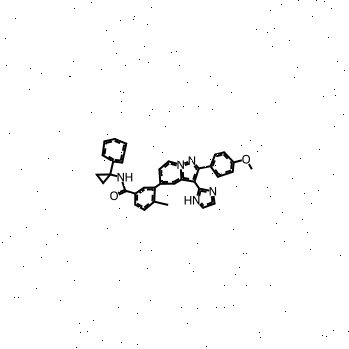 COc1ccc(-c2nn3ccc(-c4cc(C(=O)NC5(c6ccccc6)CC5)ccc4C)cc3c2-c2ncc[nH]2)cc1